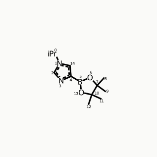 CC(C)n1cnc(B2OC(C)(C)C(C)(C)O2)c1